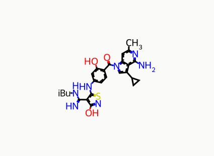 CCC(C)NC(=N)c1c(O)nsc1Nc1ccc(C(=O)n2cc(C3CC3)c3c(N)nc(C)cc32)c(O)c1